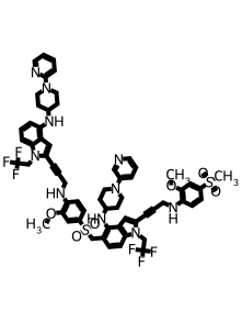 COc1cc(S(C)(=O)=O)ccc1NCC#Cc1cc2c(NC3CCN(c4cccnc4)CC3)c(CS(=O)(=O)c3ccc(NCC#Cc4cc5c(NC6CCN(c7ccccn7)CC6)cccc5n4CC(F)(F)F)c(OC)c3)ccc2n1CC(F)(F)F